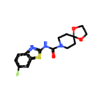 O=C(Nc1nc2ccc(F)cc2s1)N1CCC2(CC1)OCCO2